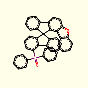 O=P(c1ccccc1)(c1ccccc1)c1cccc2c1-c1ccccc1C21c2ccccc2-c2ccc3oc4ccccc4c3c21